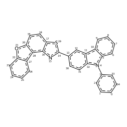 c1ccc(-n2c3ccccc3c3cc(-c4nc5c(ccc6oc7ccccc7c65)s4)ccc32)cc1